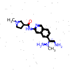 CN1CCC(C(=O)Nc2cc3cc(/C(=C/N)N(C)N)ccc3cn2)C1